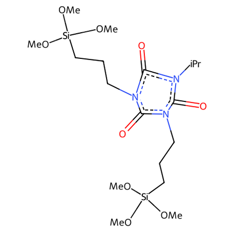 CO[Si](CCCn1c(=O)n(CCC[Si](OC)(OC)OC)c(=O)n(C(C)C)c1=O)(OC)OC